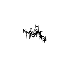 CN(C)CCNc1cc(F)cc(-c2nccc3[nH]c(-c4n[nH]c5cc(F)c(-c6cncc(CN7CCC(F)(F)C7)c6)cc45)nc23)c1